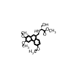 COC(=O)[C@@H](CO)NCc1cc2cc(OC)c(OC)cc2c2cc(OC)ccc12